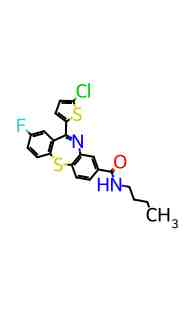 CCCCNC(=O)c1ccc2c(c1)N=C(c1ccc(Cl)s1)c1cc(F)ccc1S2